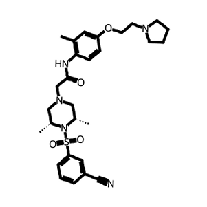 Cc1cc(OCCN2CCCC2)ccc1NC(=O)CN1C[C@@H](C)N(S(=O)(=O)c2cccc(C#N)c2)[C@@H](C)C1